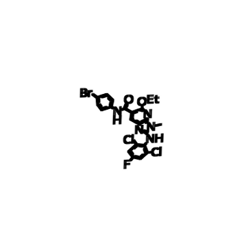 CCOc1nc2c(cc1C(=O)Nc1ccc(Br)cc1)nc(Nc1c(Cl)cc(F)cc1Cl)n2C